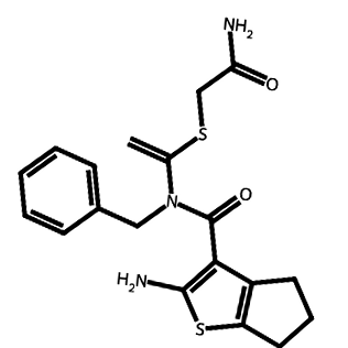 C=C(SCC(N)=O)N(Cc1ccccc1)C(=O)c1c(N)sc2c1CCC2